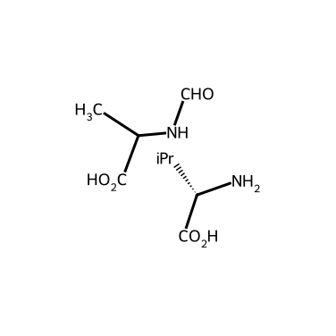 CC(C)[C@H](N)C(=O)O.CC(NC=O)C(=O)O